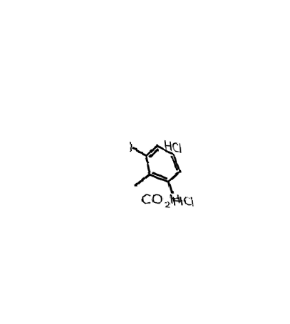 Cc1c(I)cccc1C(=O)O.Cl.Cl